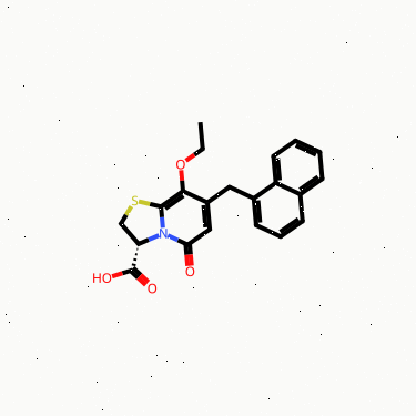 CCOc1c(Cc2cccc3ccccc23)cc(=O)n2c1SC[C@H]2C(=O)O